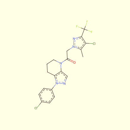 Cc1c(Cl)c(C(F)(F)F)nn1CC(=O)N1CCCc2c1cnn2-c1ccc(Cl)cc1